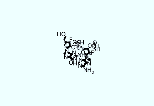 Nc1nc2c(ncn2[C@@H]2S[C@H](CCO)[C@H](F)[C@H]2OP(=O)(S)OC[C@H]2O[C@@H](n3cnc4c(N)ncnc43)[C@@H](F)[C@@H]2O[PH](=O)S)c(=O)[nH]1